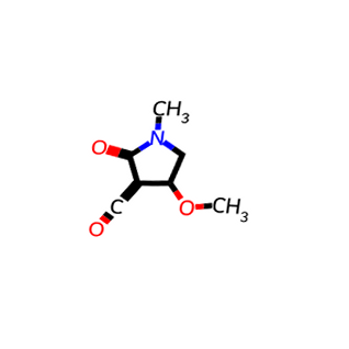 COC1CN(C)C(=O)C1=C=O